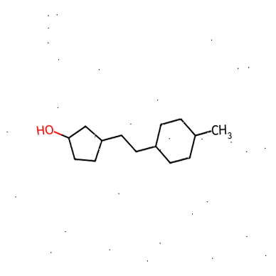 CC1CCC(CCC2CCC(O)C2)CC1